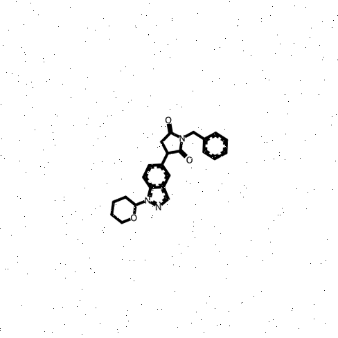 O=C1CC(c2ccc3c(cnn3C3CCCCO3)c2)C(=O)N1Cc1ccccc1